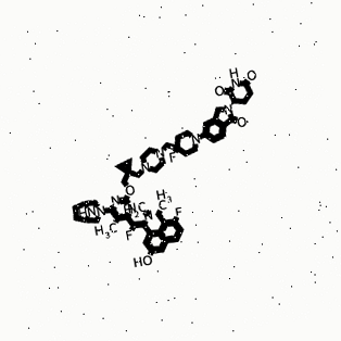 C=N/C(=C(/F)c1nc(OCC2(CN3CCN(CC4(F)CCN(c5ccc6c(c5)CN([C@H]5CCC(=O)NC5=O)C6=O)CC4)CC3)CC2)nc(N2CC3CCC(C2)N3)c1C)c1cc(O)cc2ccc(F)c(CC)c12